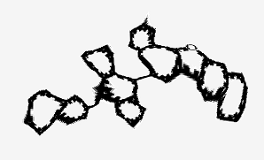 c1ccc2cc(-c3c4ccccc4c(-c4cc5c6cc7ccccc7cc6oc5c5ccccc45)c4ccccc34)ccc2c1